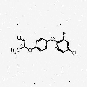 C[C@@H](C=O)Oc1ccc(Oc2ncc(Cl)cc2F)cc1